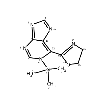 C[Si](C)(C)n1cnc2ncnc-2c1C1=NCCO1